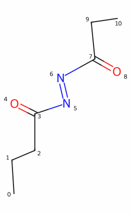 CCCC(=O)N=NC(=O)CC